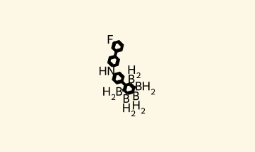 Bc1c(B)c(B)c(-c2ccc(Nc3ccc(-c4cccc(F)c4)cc3)cc2)c(B)c1B